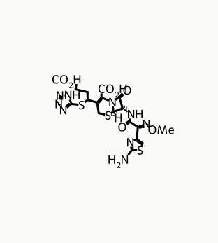 CON=C(C(=O)N[C@@H]1C(=O)N2C(C(=O)O)=C(C(CCC(=O)O)Sc3nnn[nH]3)CS[C@@H]12)c1csc(N)n1